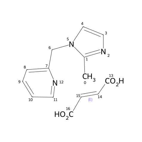 Cc1nccn1Cc1ccccn1.O=C(O)/C=C/C(=O)O